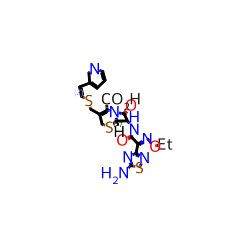 CCON=C(C(=O)NC1C(=O)N2C(C(=O)O)=C(CS/C=C\c3cccnc3)CS[C@@H]12)c1nsc(N)n1